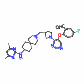 Cc1cc(C)nc(NC2CCC3(CC2)CCN(CC2CCN(c4ncncc4Oc4ccc(F)cc4C=O)C2)CC3)n1